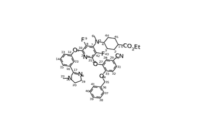 CCOC(=O)C1CCC(N(C)c2c(F)c(Oc3cccc(C4=NCCN4C)c3)nc(Oc3cc(C#N)ccc3OCc3ccccc3)c2F)CC1